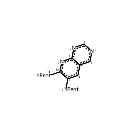 CCCCCc1cc2cncnc2nc1CCCCC